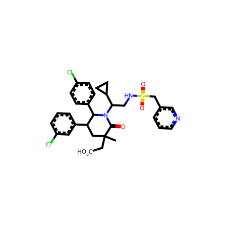 CC1(CC(=O)O)CC(c2cccc(Cl)c2)C(c2ccc(Cl)cc2)N(C(CNS(=O)(=O)Cc2cccnc2)C2CC2)C1=O